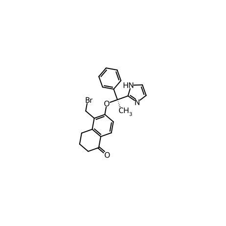 C[C@](Oc1ccc2c(c1CBr)CCCC2=O)(c1ccccc1)c1ncc[nH]1